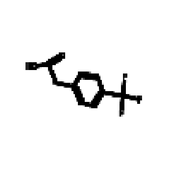 O=C(O)[CH]c1ccc(C(F)(F)F)cc1